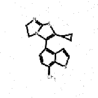 Cc1ccc(C2=C(C3CC3)SC3=NCCN32)c2ccsc12